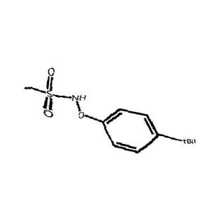 CC(C)(C)c1ccc(ONS(C)(=O)=O)cc1